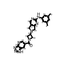 Cc1cc(C)cc(Nc2ncc3c(n2)CN(C2CN(C(=O)c4cnc5nn[nH]c5c4)C2)C3)c1